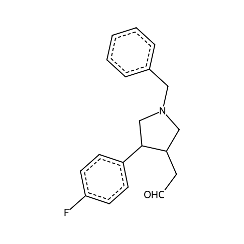 O=CCC1CN(Cc2ccccc2)CC1c1ccc(F)cc1